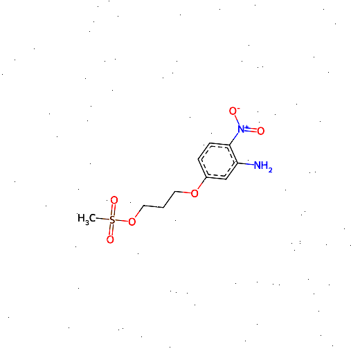 CS(=O)(=O)OCCCOc1ccc([N+](=O)[O-])c(N)c1